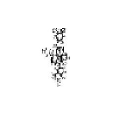 CC(C)c1c(C(=O)Nc2ccc3c(c2)CCNC3)cnn1Cc1ccc(Cl)c(Cl)c1.Cl